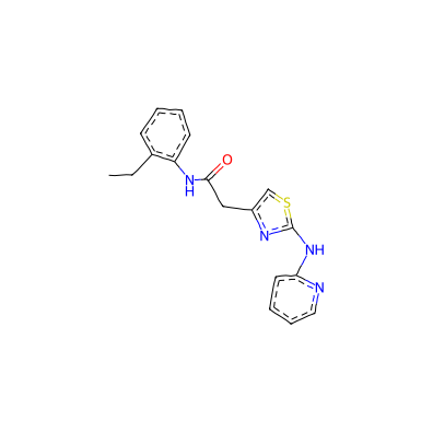 CCc1ccccc1NC(=O)Cc1csc(Nc2ccccn2)n1